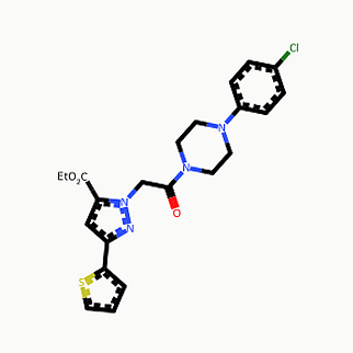 CCOC(=O)c1cc(-c2cccs2)nn1CC(=O)N1CCN(c2ccc(Cl)cc2)CC1